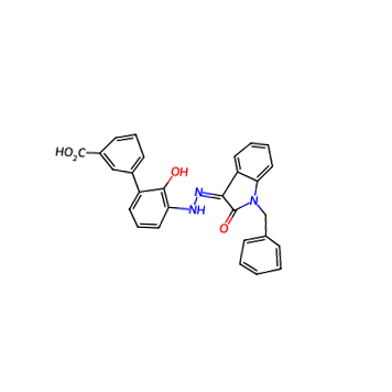 O=C(O)c1cccc(-c2cccc(N/N=C3\C(=O)N(Cc4ccccc4)c4ccccc43)c2O)c1